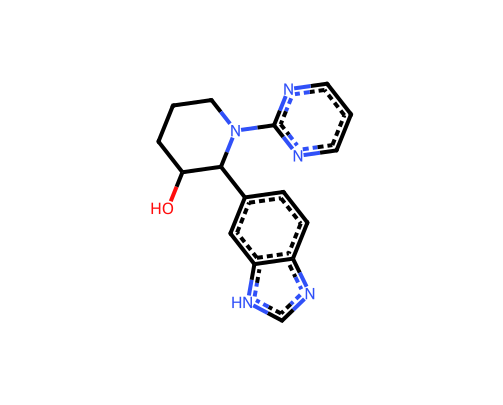 OC1CCCN(c2ncccn2)C1c1ccc2nc[nH]c2c1